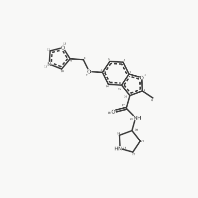 Cc1oc2ccc(OCc3cnco3)cc2c1C(=O)NC1CCNC1